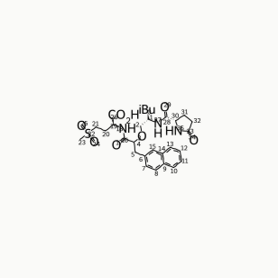 CC[C@H](C)[C@@H](COC(Cc1ccc2ccccc2c1)C(=O)N[C@@H](CCS(C)(=O)=O)C(=O)O)NC(=O)[C@@H]1CCC(=O)N1